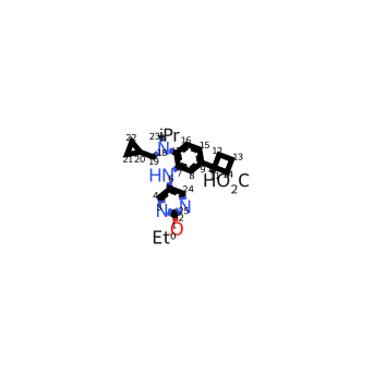 CCOc1ncc(Nc2cc(C3(C(=O)O)CCC3)ccc2N(CC2CC2)C(C)C)cn1